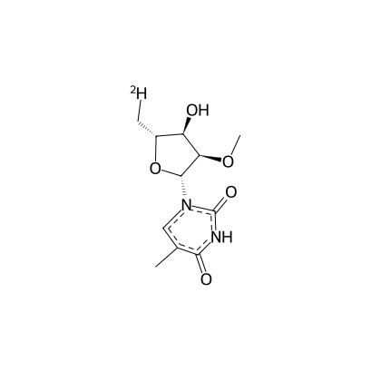 [2H]C[C@H]1O[C@@H](n2cc(C)c(=O)[nH]c2=O)[C@H](OC)[C@@H]1O